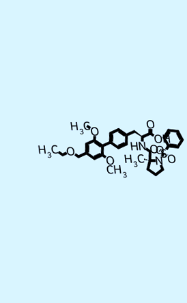 CCOCc1cc(OC)c(-c2ccc(C[C@H](NC(=O)[C@]3(C)CCCN3S(=O)(=O)c3ccccc3)C(=O)O)cc2)c(OC)c1